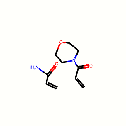 C=CC(=O)N1CCOCC1.C=CC(N)=O